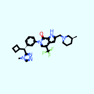 C[C@H]1CCCN(Cc2cc3c(C(F)(F)F)cn(-c4cccc([C@H](c5nncn5C)C5CCC5)c4)c(=O)c3[nH]2)C1